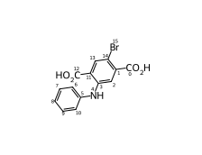 O=C(O)c1cc(Nc2ccccc2)c(C(=O)O)cc1Br